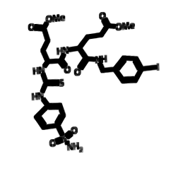 COC(=O)CCC(NC(=O)C(CCC(=O)OC)NC(=S)Nc1ccc(S(N)(=O)=O)cc1)C(=O)NCc1ccc(I)cc1